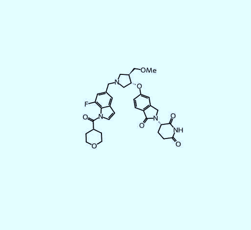 COC[C@@H]1CN(Cc2cc(F)c3c(ccn3C(=O)C3CCOCC3)c2)C[C@H]1Oc1ccc2c(c1)CN([C@H]1CCC(=O)NC1=O)C2=O